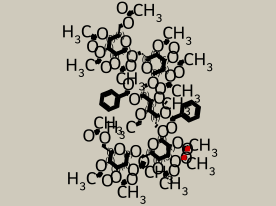 CCO[C@@H]([C@H](OC)[C@@H](CO[C@@H]1O[C@H](CO[C@@H]2O[C@H](COC(C)=O)[C@@H](OC(C)=O)[C@H](OC(C)=O)[C@H]2OC(C)=O)[C@@H](OC(C)=O)[C@H](OC(C)=O)[C@H]1OC(C)=O)OC(=O)c1ccccc1)[C@@H](CO[C@@H]1O[C@H](CO[C@@H]2O[C@H](COC(C)=O)[C@@H](OC(C)=O)[C@H](OC(C)=O)[C@H]2OC(C)=O)[C@@H](OC(C)=O)[C@H](OC(C)=O)[C@H]1OC(C)=O)OC(=O)c1ccccc1